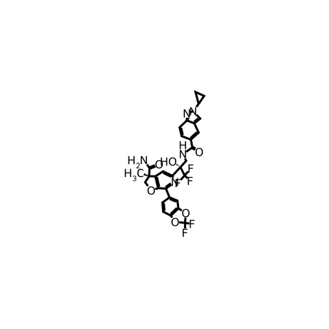 C[C@]1(C(N)=O)COc2c1cc([C@@](O)(CNC(=O)c1ccc3nn(C4CC4)cc3c1)C(F)(F)F)nc2-c1ccc2c(c1)OC(F)(F)O2